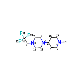 CN1CCC(N2CCN(CC(F)(F)F)CC2)CC1